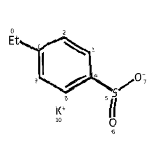 CCc1ccc(S(=O)[O-])cc1.[K+]